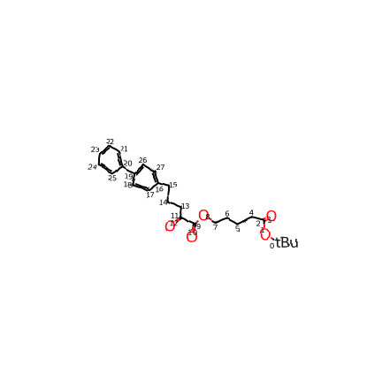 CC(C)(C)OC(=O)CCCCOC(=O)C(=O)CCCc1ccc(-c2ccccc2)cc1